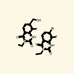 CCn1c(=O)[nH]c2c(F)c(Br)ccc2c1=S.CCn1c(=O)[nH]c2c(F)c(CO)ccc2c1=O